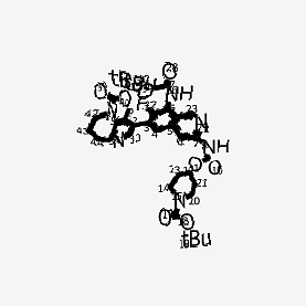 Cc1c(-c2cc3cc(NC(=O)OC4CCN(C(=O)OC(C)(C)C)CC4)ncc3c(NC(=O)OC(C)(C)C)c2F)cnc2c1N(C(=O)OC(C)(C)C)CCC2